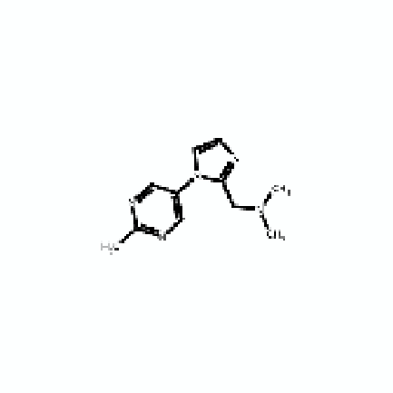 Cc1ncc(-n2ccnc2CN(C)C)cn1